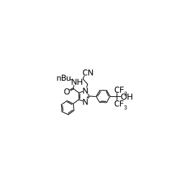 CCCCNC(=O)c1c(-c2ccccc2)nc(-c2ccc(C(O)(C(F)(F)F)C(F)(F)F)cc2)n1CCC#N